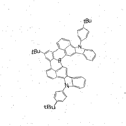 CC(C)(C)c1ccc(-n2c3ccccc3c3cc4c5c(cccc5c32)-c2cc(C(C)(C)C)cc3c2B4c2cc4c5ccccc5n(-c5ccc(C(C)(C)C)cc5)c4c4cccc-3c24)cc1